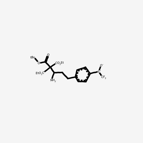 CCOC(=O)C(C(=O)OCC)(C(=O)OC(C)(C)C)C(N)CCc1ccc([S+]([O-])C(F)(F)F)cc1